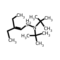 CCC(=C[SiH2]N(C(C)(C)C)C(C)(C)C)CC